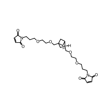 O=C1C=CC(=O)N1CCCOCCOC[C@@H]1CC2(COCCOCCCN3C(=O)C=CC3=O)CC1C2